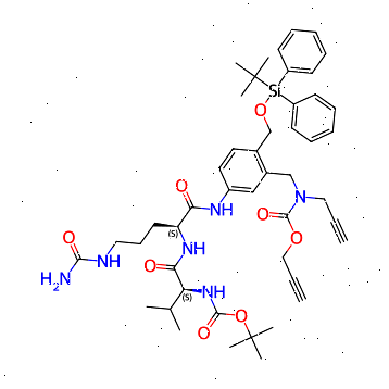 C#CCOC(=O)N(CC#C)Cc1cc(NC(=O)[C@H](CCCNC(N)=O)NC(=O)[C@@H](NC(=O)OC(C)(C)C)C(C)C)ccc1CO[Si](c1ccccc1)(c1ccccc1)C(C)(C)C